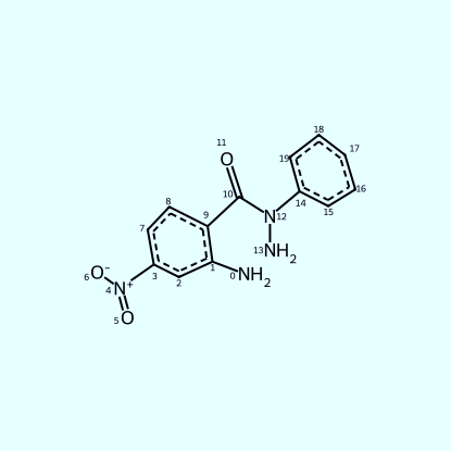 Nc1cc([N+](=O)[O-])ccc1C(=O)N(N)c1ccccc1